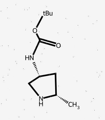 C[C@H]1C[C@@H](NC(=O)OC(C)(C)C)CN1